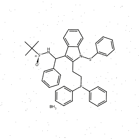 B.CC(C)(C)[S@+]([O-])NC(c1ccccc1)c1c(CCP(c2ccccc2)c2ccccc2)n(Sc2ccccc2)c2ccccc12